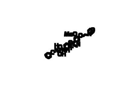 COc1cc2c(Oc3ccc(NC(=O)C(O)NCCc4ccccc4)cc3F)ccnc2cc1OCCCN1CCOCC1